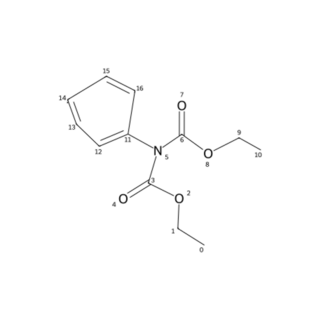 CCOC(=O)N(C(=O)OCC)c1cc[c]cc1